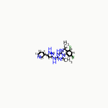 Cc1nc(Nc2cc(-c3cccnc3)[nH]n2)nc(NC(C)c2ccc(F)cc2F)n1